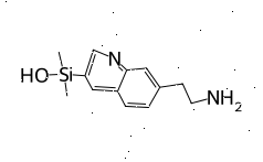 C[Si](C)(O)c1cnc2cc(CCN)ccc2c1